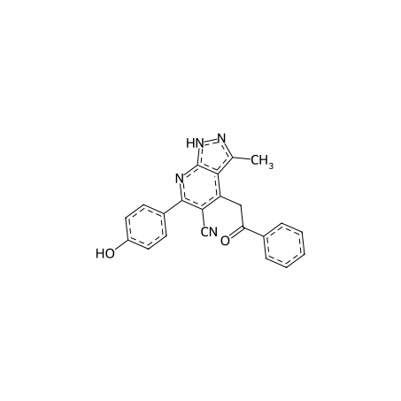 Cc1n[nH]c2nc(-c3ccc(O)cc3)c(C#N)c(CC(=O)c3ccccc3)c12